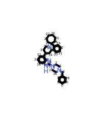 c1ccc(CN2CCN(c3nc4c(C5CCN(C6(c7ccccc7)CCCCCC6)CC5)cccc4[nH]3)CC2)cc1